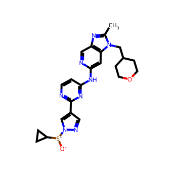 Cc1nc2cnc(Nc3ccnc(-c4cnn([S+]([O-])C5CC5)c4)n3)cc2n1CC1CCOCC1